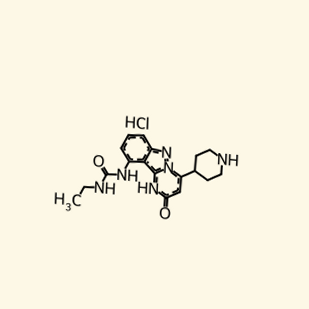 CCNC(=O)Nc1cccc2nn3c(C4CCNCC4)cc(=O)[nH]c3c12.Cl